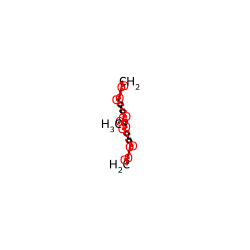 C=CC(=O)OCCCCOC(=O)C1CCC(C2CCC(C(=O)Oc3ccc(OC(=O)C4CCC(C5CCC(C(=O)OCCCCOC(=O)C=C)CC5)CC4)c(OC)c3)CC2)CC1